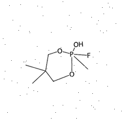 CC1(C)COP(C)(O)(F)OC1